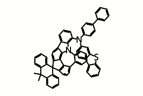 CC1(C)c2ccccc2C2(c3ccccc31)c1cccc3c1-c1c2ccc2c4cccc(N(c5ccc(-c6ccccc6)cc5)c5ccc6c(c5)sc5ccccc56)c4n(c12)-c1ccccc1-3